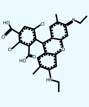 CCN=c1cc2oc3cc(NCC)c(C)cc3c(-c3c(Cl)cc(C(=O)O)c(Cl)c3C(=O)O)c-2cc1C